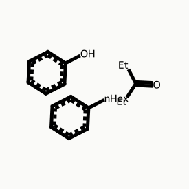 CCC(=O)CC.CCCCCCc1ccccc1.Oc1ccccc1